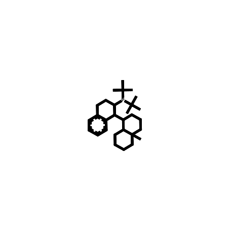 CC12CCCCC1C(C1c3ccccc3CCC1P(C(C)(C)C)C(C)(C)C)CCC2